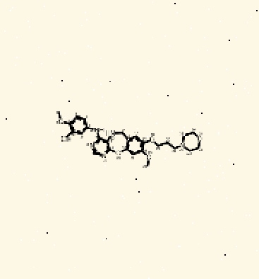 COc1ccc(Nc2ncnc3c2NCc2cc(OCCCN4CCOCC4)c(OC)cc2O3)cc1Cl